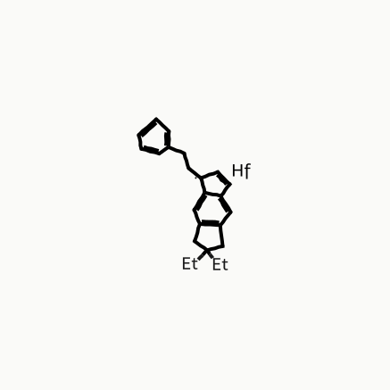 CCC1(CC)Cc2cc3c(cc2C1)[C](CCc1ccccc1)C=C3.[Hf]